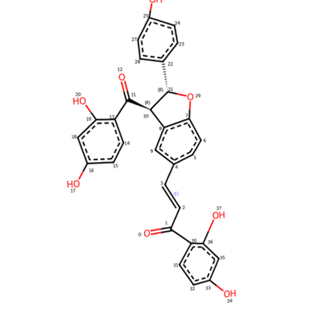 O=C(/C=C/c1ccc2c(c1)[C@@H](C(=O)c1ccc(O)cc1O)[C@H](c1ccc(O)cc1)O2)c1ccc(O)cc1O